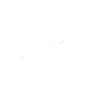 CCCCOC(=O)C(CCC)SCCCF